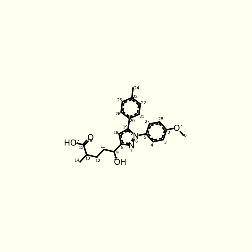 COc1ccc(-n2nc(C(O)CCC(C)C(=O)O)cc2-c2ccc(C)cc2)cc1